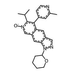 Cc1cc(-c2c(C(C)C)[n+]([O-])cc3cc4c(cnn4C4CCCCO4)cc23)ccn1